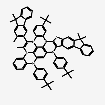 CC1=C(c2cc3c(cc2C)C(C)(C)c2ccccc2-3)N2c3ccc(C(C)(C)C)cc3B3c4sc5cc6c(cc5c4N(c4ccc(C(C)(C)C)cc4)c4cc5c(c2c43)B1c1ccccc1N5c1ccc(C(C)(C)C)cc1)-c1ccccc1C6(C)C